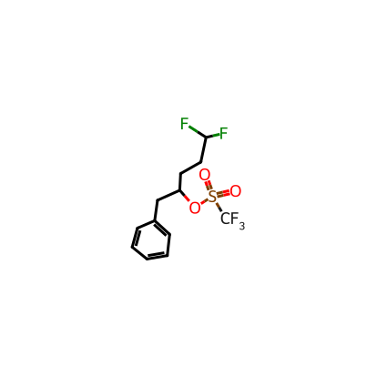 O=S(=O)(OC(CCC(F)F)Cc1ccccc1)C(F)(F)F